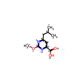 COc1nc(CC(C)C)cc(C(=O)O)n1